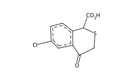 O=C1CSC(C(=O)O)c2ccc(Cl)cc21